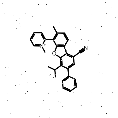 Cc1ccc2c(oc3c(C(C)C)c(-c4ccccc4)cc(C#N)c32)c1-c1cccc[n+]1C